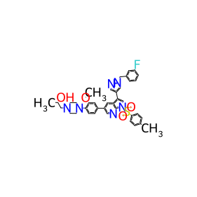 COc1cc(-c2cnc3c(c2)c(-c2cnn(Cc4cccc(F)c4)c2)cn3S(=O)(=O)c2ccc(C)cc2)ccc1N1CCN(CC(C)O)CC1